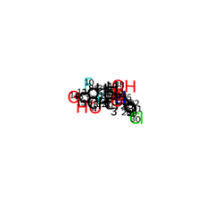 C[C@]12C[C@H](O)[C@@]3(F)[C@@H](C[C@H](F)C4=CC(=O)C=C[C@@]43C)[C@]1(C)C[C@H]1CN(Cc3ccc(Cl)cc3)O[C@]12C(=O)CO